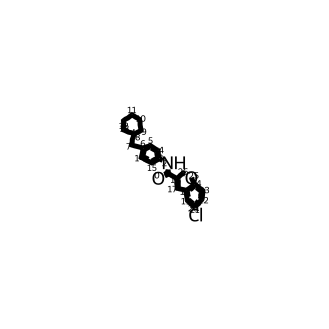 O=C(Nc1ccc(C[C]2CCCCC2)cc1)C1=Cc2cc(Cl)ccc2OC1